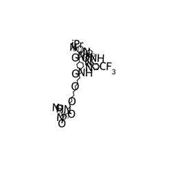 CC(C)N(C)[C@@H]1CC[C@H](N2CC[C@H](Nc3ncnc4ccc(C(F)(F)F)cc34)C2=O)[C@H](NC(=O)C2CCC(NC(=O)CCCOCCCCOCCNC(=O)[C@H]3CC(=O)N(C)[C@@H]3c3cccnc3)CC2)C1